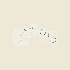 CCc1ccccc1-c1cc2ccc(OCC(C)(COC(=O)C(C)(C)C(N)CC(C)(C)N)C(F)(F)F)cc2s1